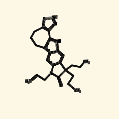 C=CCN1C(=O)C(CCC)(CCC)c2cc3[nH]c4c(c3cc21)CCCc1c[nH]nc1-4